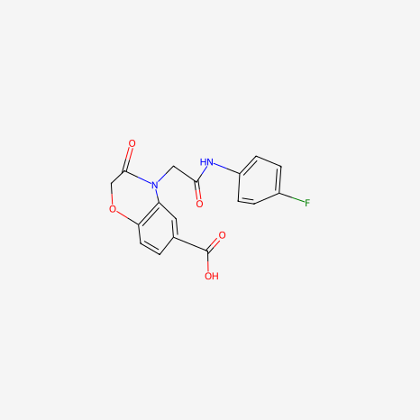 O=C(CN1C(=O)COc2ccc(C(=O)O)cc21)Nc1ccc(F)cc1